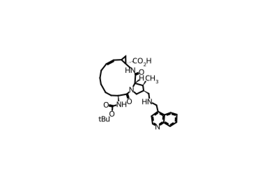 C[C@H]1[C@@H](CNCc2ccnc3ccccc23)CN2C(=O)[C@@H](NC(=O)OC(C)(C)C)CCCCC/C=C\C3C[C@@]3(C(=O)O)NC(=O)[C@H]12